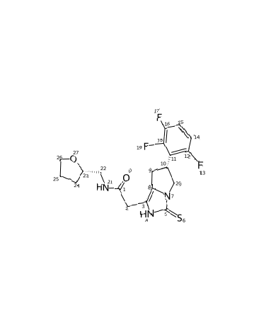 O=C(Cc1[nH]c(=S)n2c1C[C@H](c1c(F)ccc(F)c1F)C2)NC[C@@H]1CCCO1